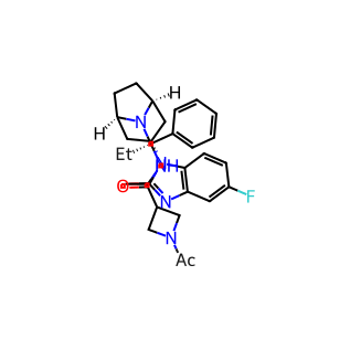 CC[C@@](NC(=O)C1CN(C(C)=O)C1)(c1ccccc1)N1[C@@H]2CC[C@H]1C[C@H](n1c(C)nc3cc(F)ccc31)C2